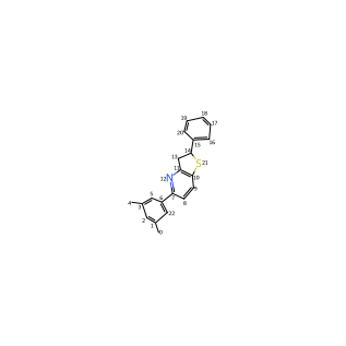 Cc1cc(C)cc(-c2ccc3c(n2)CC(c2ccccc2)S3)c1